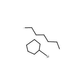 [CH2]CCCCCC.[Li][CH]1CCCCC1